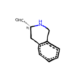 O=C[C@H]1Cc2ccccc2CN1